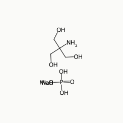 COP(=O)(O)O.NC(CO)(CO)CO.[NaH]